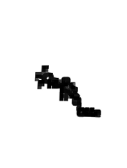 COCCOCc1csc(NC(=O)NCc2cc(F)c(F)c(F)c2)n1